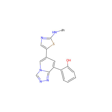 CC(C)Nc1ncc(-c2cc(-c3ccccc3O)c3nncn3c2)s1